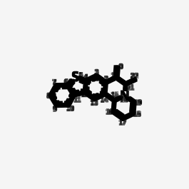 C=C1c2cc3sc4ccccc4c3cc2C2C=CC=CN2C1C